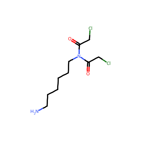 NCCCCCCN(C(=O)CCl)C(=O)CCl